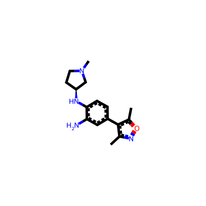 Cc1noc(C)c1-c1ccc(N[C@H]2CCN(C)C2)c(N)c1